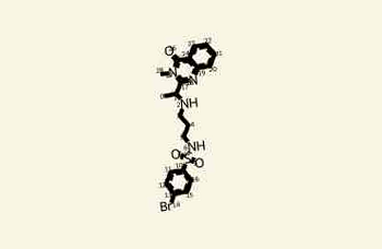 CC(NCCCNS(=O)(=O)c1ccc(Br)cc1)c1nc2ccccc2c(=O)n1C